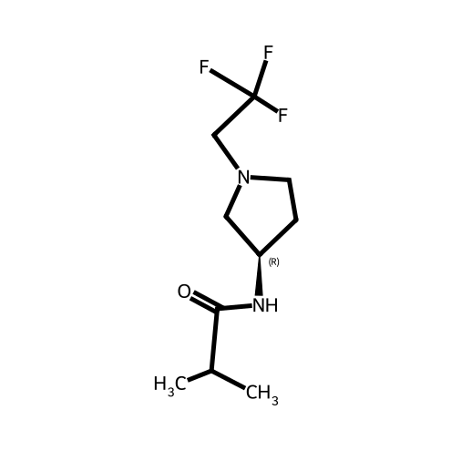 CC(C)C(=O)N[C@@H]1CCN(CC(F)(F)F)C1